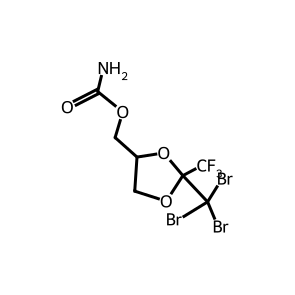 NC(=O)OCC1COC(C(F)(F)F)(C(Br)(Br)Br)O1